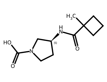 CC1(C(=O)N[C@H]2CCN(C(=O)O)C2)CCC1